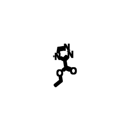 CCOC(=O)C1=NN=C[N]1